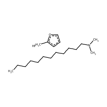 CCCCCCCCCCCCN(C)C.Cc1ccco1.F